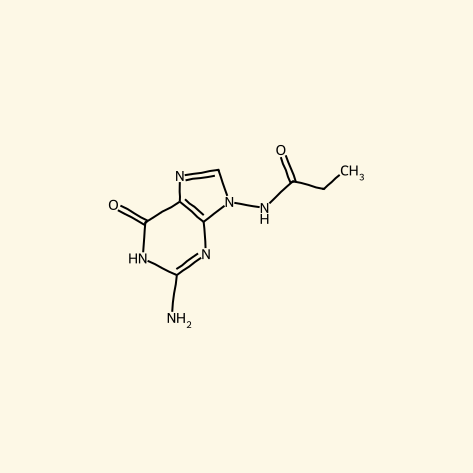 CCC(=O)Nn1cnc2c(=O)[nH]c(N)nc21